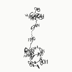 C[C@H](CCC(=O)O)NC(=O)N[C@@H](CCCCNC(=O)CCCCCCC(=O)NCCCCC(NC(=O)C(Cc1ccccc1)NC(=O)CN1CCN(CC(=O)O)CCN(CC(=O)O)CCN(CC(=O)O)CC1)C(=O)O)C(=O)O